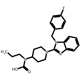 CCCN(C(=O)O)C1CCN(c2nc3ccccc3n2Cc2ccc(F)cc2)CC1